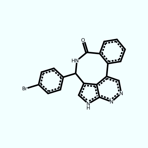 O=C1NC(c2ccc(Br)cc2)c2c[nH]c3nncc(c23)-c2ccccc21